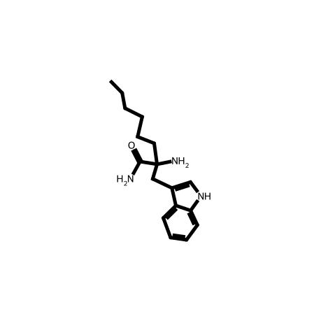 CCCCCCC(N)(Cc1c[nH]c2ccccc12)C(N)=O